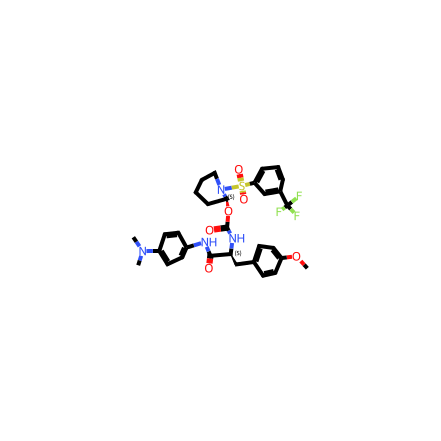 COc1ccc(C[C@H](NC(=O)O[C@H]2CCCCN2S(=O)(=O)c2cccc(C(F)(F)F)c2)C(=O)Nc2ccc(N(C)C)cc2)cc1